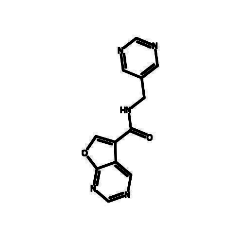 O=C(NCc1cncnc1)c1coc2ncncc12